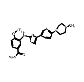 CNC(=O)c1ccc(OC(F)(F)F)c(Nc2nc(-c3ccc(N4CCN(C)CC4)nc3)cs2)c1